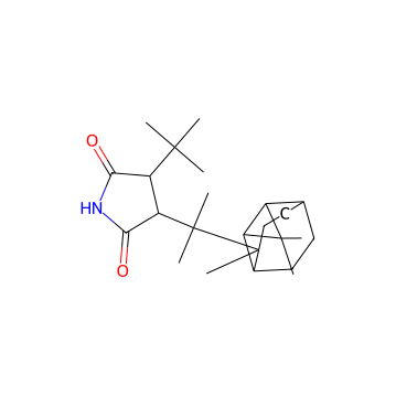 CC(C)(C)C1C(=O)NC(=O)C1C(C)(C)C1(C)CCC2CCC1C1C2C1(C)C